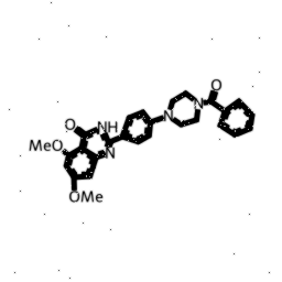 COc1cc(OC)c2c(=O)[nH]c(-c3ccc(N4CCN(C(=O)c5ccccc5)CC4)cc3)nc2c1